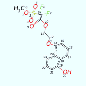 COS(=O)(=O)C(F)(F)C(=O)OCCOc1cccc2c(O)cccc12